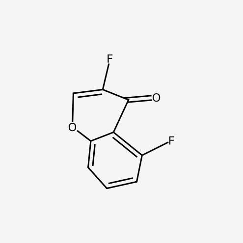 O=c1c(F)coc2cccc(F)c12